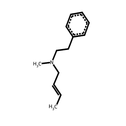 CC=CCN(C)CCc1ccccc1